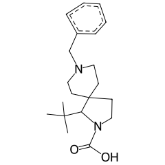 CC(C)(C)C1N(C(=O)O)CCC12CCN(Cc1ccccc1)CC2